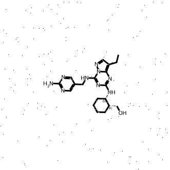 CCc1cnn2c(NCc3cnc(N)nc3)nc(N[C@H]3CCCC[C@H]3CO)nc12